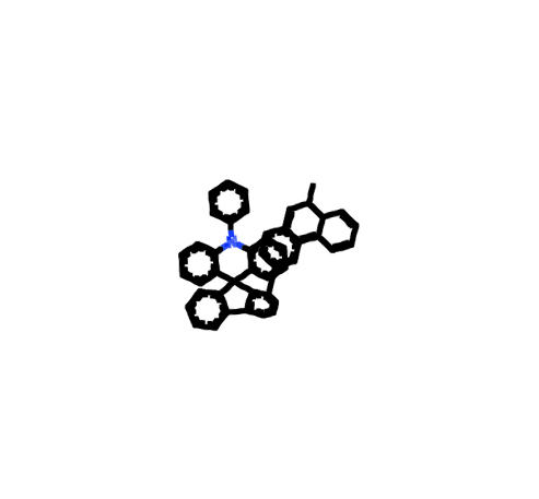 CC1C=c2ccc(-c3cccc4c3C3(c5ccccc5-4)c4ccccc4N(c4ccccc4)c4ccccc43)cc2=C2C=CC=CC21